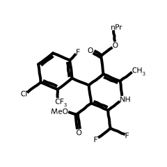 CCCOC(=O)C1=C(C)NC(C(F)F)=C(C(=O)OC)C1c1c(F)ccc(Cl)c1C(F)(F)F